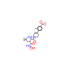 COC(=O)c1ccc(C2=CCN(C(=O)C3NCC4(CC4)CC3C(=O)NO)CC2)c(C)c1